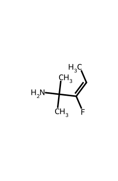 C/C=C(/F)C(C)(C)N